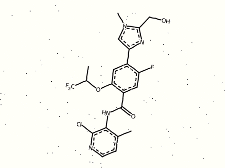 Cc1ccnc(Cl)c1NC(=O)c1cc(F)c(-c2cn(C)c(CO)n2)cc1OC(C)C(F)(F)F